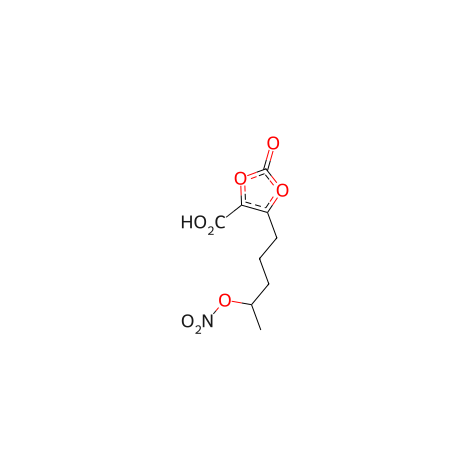 CC(CCCc1oc(=O)oc1C(=O)O)O[N+](=O)[O-]